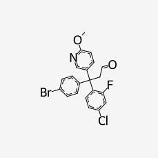 COc1ccc(C(CC=O)(c2ccc(Br)cc2)c2ccc(Cl)cc2F)cn1